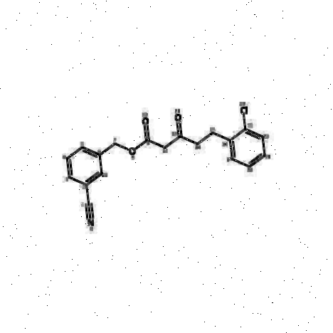 N#Cc1cccc(COC(=O)CC(=O)CCc2ccccc2Cl)c1